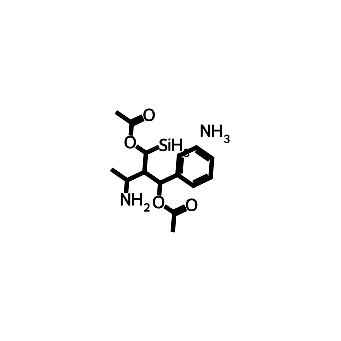 CC(=O)OC([SiH3])C(C(C)N)C(OC(C)=O)c1ccccc1.N